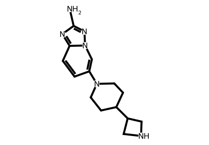 Nc1nc2ccc(N3CCC(C4CNC4)CC3)cn2n1